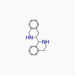 [CH]1CNC(C2Cc3ccccc3CN2)c2ccccc21